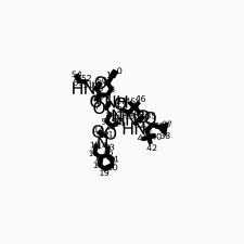 C#CCCC(NC(=O)[C@@H]1C[C@@H](OC(=O)N2CCc3ccccc3C2)CN1C(=O)[C@@H](NC(=O)N[C@H](C(=O)C1CC1)C(C)(C)C)C(C)(C)C)C(=O)C(=O)NCC=C